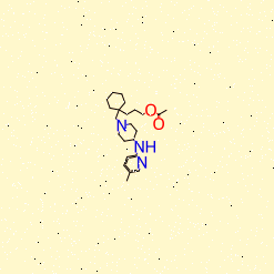 CC(=O)OCCCC1(CN2CCC(Nc3ccc(C)cn3)CC2)CCCCC1